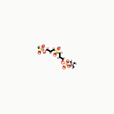 C[Si](C)(C)OS(=O)(=O)OCCCS(=O)(=O)CCCOS(C)(=O)=O